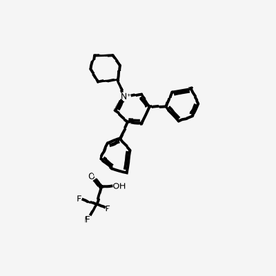 O=C(O)C(F)(F)F.c1ccc(-c2cc(-c3ccccc3)c[n+](C3CCCCC3)c2)cc1